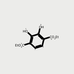 CCOC(=O)c1ccc(C(=O)OCC)c(O)c1O